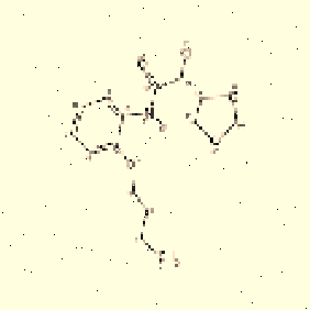 CCCCOc1ccccc1N(CC1COCO1)C(=O)CCl